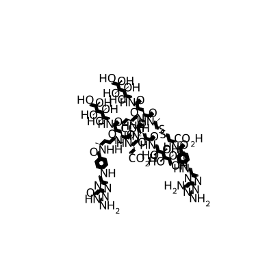 C[C@H](CCC(=O)N[C@@H](CCC(=O)NC[C@H](O)[C@@H](O)[C@H](O)[C@H](O)CO)C(=O)N[C@@H](CCC(=O)O)C(=O)N[C@@H](CCC(=O)NC[C@H](O)[C@@H](O)[C@H](O)[C@H](O)CO)C(=O)N[C@@H](CCC(=O)O)C(=O)N[C@@H](CCC(=O)NC[C@H](O)[C@@H](O)[C@H](O)[C@H](O)CO)C(=O)N[C@H](C)CSSCC[C@H](NC(=O)c1ccc(NCc2cnc3nc(N)nc(N)c3n2)cc1)C(=O)O)NC(=O)c1ccc(NCc2cnc3nc(N)[nH]c(=O)c3n2)cc1